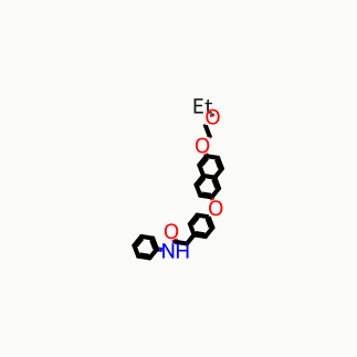 CCOCCOc1ccc2cc(Oc3ccc(CC(=O)Nc4ccccc4)cc3)ccc2c1